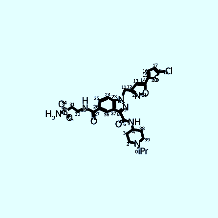 CC(C)N1CCC(NC(=O)c2nn(Cc3cc(-c4ccc(Cl)s4)on3)c3ccc(C(=O)NCCS(N)(=O)=O)cc23)CC1